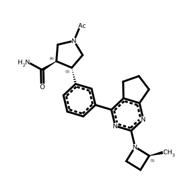 CC(=O)N1C[C@H](C(N)=O)[C@@H](c2cccc(-c3nc(N4CC[C@@H]4C)nc4c3CCC4)c2)C1